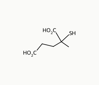 CC(S)(CCC(=O)O)C(=O)O